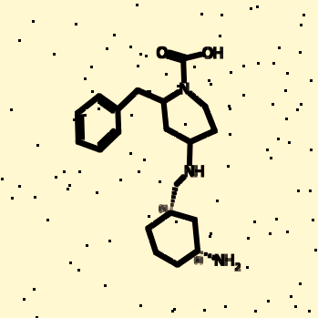 N[C@@H]1CCC[C@H](CNC2CCN(C(=O)O)C(Cc3ccccc3)C2)C1